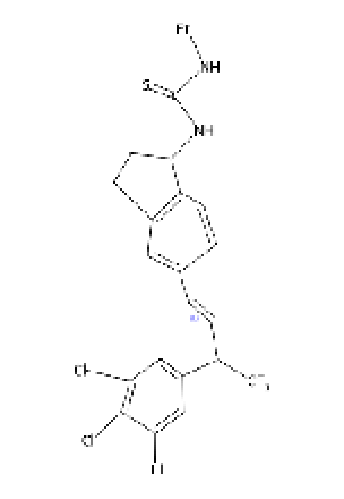 CCNC(=S)NC1CCc2cc(/C=C/C(c3cc(Cl)c(Cl)c(Cl)c3)C(F)(F)F)ccc21